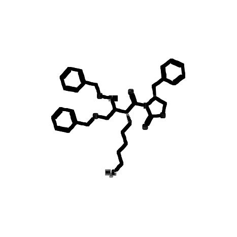 CCCCCC[C@@H](C(=O)N1C(=O)OC[C@@H]1Cc1ccccc1)C(COCc1ccccc1)NOCc1ccccc1